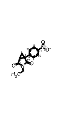 CCN1C(=O)C2CC2(c2ccc([N+](=O)[O-])cc2)C1=O